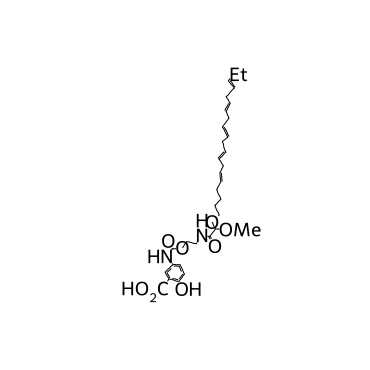 CCC=CCC=CCC=CCC=CCC=CCCCCOC(OC)C(=O)NCCOC(=O)Nc1ccc(O)c(C(=O)O)c1